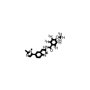 [2H]c1c([2H])c(C(=O)Nc2cc3cc(-c4cnc(C)n4C)ccc3nn2)c([2H])c([2H])c1OC([2H])([2H])[2H]